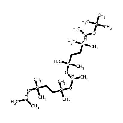 C[SiH](C)O[Si](C)(C)CC[Si](C)(C)O[SiH](C)O[Si](C)(C)CC[Si](C)(C)[SiH](C)O[Si](C)(C)C